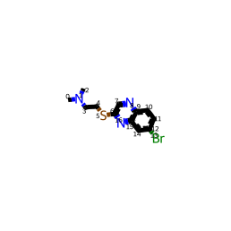 CN(C)CCSc1cnc2ccc(Br)cc2n1